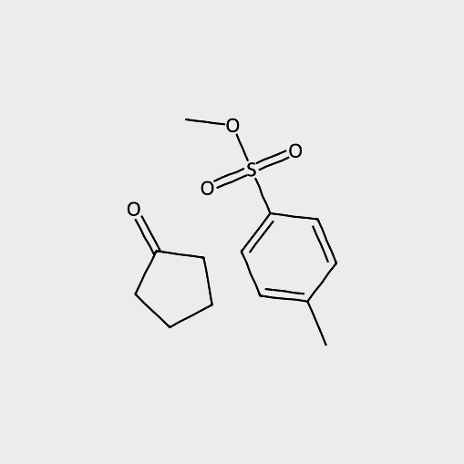 COS(=O)(=O)c1ccc(C)cc1.O=C1CCCC1